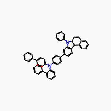 C1=CC2C(c3ccccc31)c1ccc(-c3ccc(N(c4ccc(-c5ccccc5)cc4)c4ccccc4-c4ccccc4)cc3)cc1N2c1ccccc1